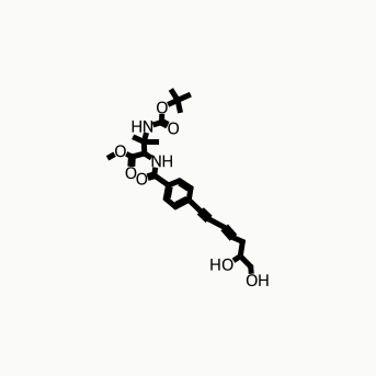 COC(=O)C(NC(=O)c1ccc(C#CC#CCC(O)CO)cc1)C(C)(C)NC(=O)OC(C)(C)C